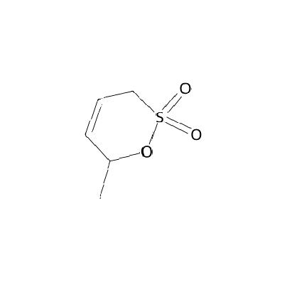 CC1C=CCS(=O)(=O)O1